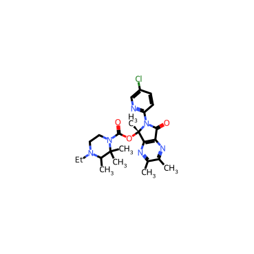 CCN1CCN(C(=O)O[C@@]2(C)c3nc(C)c(C)nc3C(=O)N2c2ccc(Cl)cn2)C(C)(C)C1C